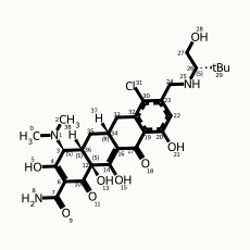 CN(C)[C@@H]1C(O)=C(C(N)=O)C(=O)[C@@]2(O)C(O)=C3C(=O)c4c(O)cc(CN[C@H](CO)C(C)(C)C)c(Cl)c4C[C@H]3C[C@@H]12